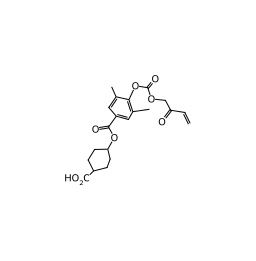 C=CC(=O)COC(=O)Oc1c(C)cc(C(=O)OC2CCC(C(=O)O)CC2)cc1C